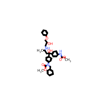 COC(=O)Nc1ccc(C(O)(CC(C)NC[C@H](O)COc2ccccc2)c2ccc(N(Cc3ccccc3)C(=O)OC)cc2)cc1